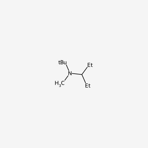 CCC(CC)N(C)C(C)(C)C